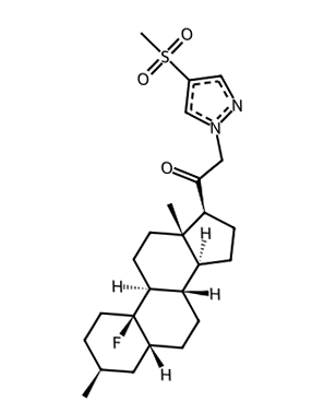 C[C@H]1CC[C@@]2(F)[C@H](CC[C@H]3[C@@H]4CC[C@H](C(=O)Cn5cc(S(C)(=O)=O)cn5)[C@@]4(C)CC[C@@H]32)C1